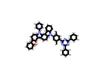 Cc1cc(-n2c3ccccc3c3c2ccc2c4c5oc6ccccc6c5ccc4n(-c4ccccc4)c23)c(C)cc1-c1nc(-c2ccccc2)nc(-c2ccccc2)n1